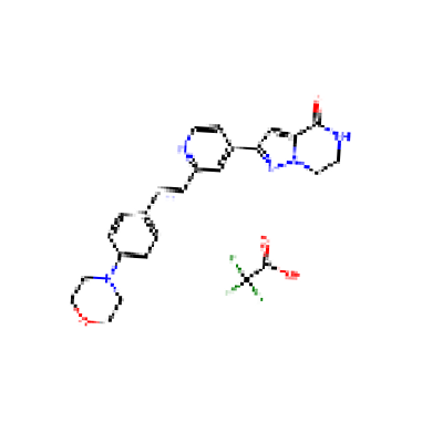 O=C(O)C(F)(F)F.O=C1NCCn2nc(-c3ccnc(/C=C/c4ccc(N5CCOCC5)cc4)c3)cc21